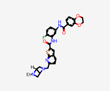 CCN1CC2[C@H]1CN2Cc1ccc2cc(C(=O)Nc3cc(NC(=O)c4ccc5c(c4)OCCO5)ccc3F)sc2n1